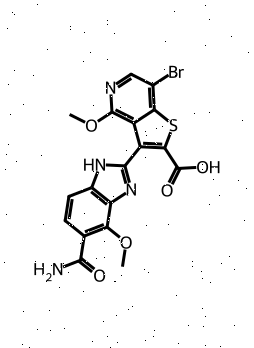 COc1c(C(N)=O)ccc2[nH]c(-c3c(C(=O)O)sc4c(Br)cnc(OC)c34)nc12